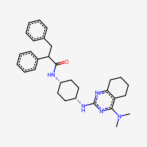 CN(C)c1nc(N[C@H]2CC[C@@H](NC(=O)C(Cc3ccccc3)c3ccccc3)CC2)nc2c1CCCC2